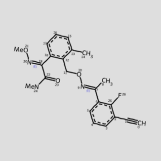 C#Cc1cccc(/C(C)=N/OCc2c(C)cccc2/C(=N\OC)C(=O)NC)c1F